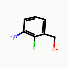 Nc1cccc(CO)c1Cl